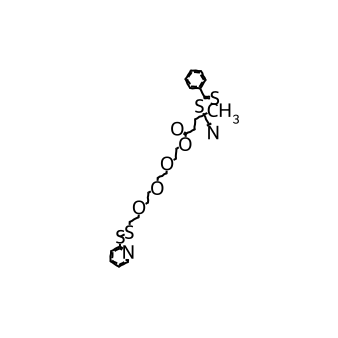 CC(C#N)(CCC(=O)OCCOCCOCCOCCSSc1ccccn1)SC(=S)c1ccccc1